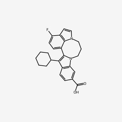 O=C(O)c1ccc2c(C3CCCCC3)c3n(c2c1)CCCn1ccc2c(F)ccc-3c21